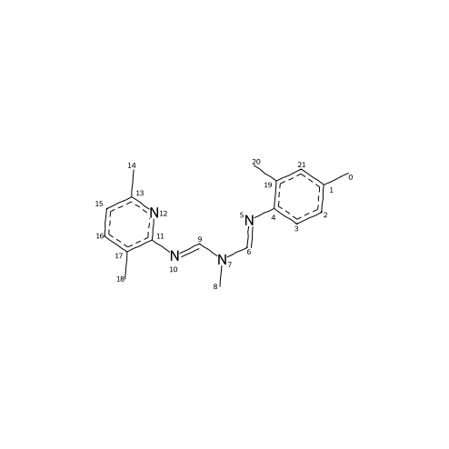 Cc1ccc(N=CN(C)C=Nc2nc(C)ccc2C)c(C)c1